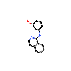 COc1cccc(Nc2nccc3ccccc23)c1